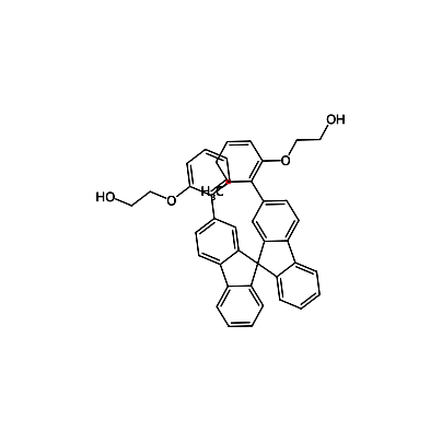 CC1CC=CC(OCCO)=C1c1ccc2c(c1)C1(c3ccccc3-2)c2ccccc2-c2ccc(-c3ccccc3OCCO)cc21